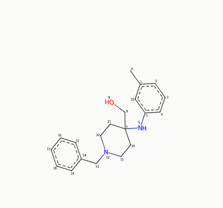 Cc1cccc(NC2(CO)CCN(Cc3ccccc3)CC2)c1